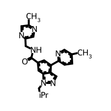 Cc1ccc(-c2cc(C(=O)NCc3cnc(C)cn3)cc3c2cnn3CC(C)C)nc1